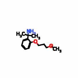 COCCCOc1ccccc1C(C)(C)N